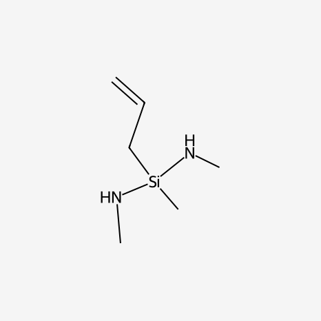 C=CC[Si](C)(NC)NC